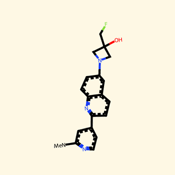 CNc1cc(-c2ccc3cc(N4CC(O)(CF)C4)ccc3n2)ccn1